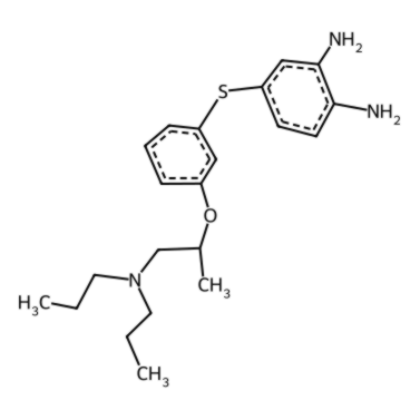 CCCN(CCC)CC(C)Oc1cccc(Sc2ccc(N)c(N)c2)c1